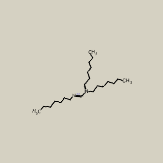 CCCCCCC/N=[C]/N(CCCCCCC)CCCCCCC